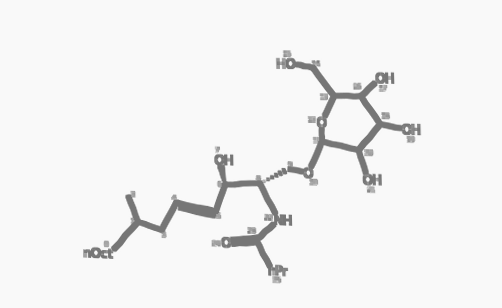 CCCCCCCCC(C)C/C=C/[C@@H](O)[C@H](COC1OC(CO)C(O)C(O)C1O)NC(=O)CCC